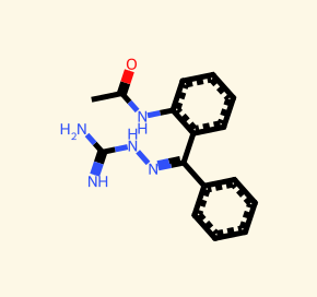 CC(=O)Nc1ccccc1/C(=N\NC(=N)N)c1ccccc1